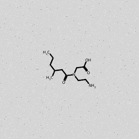 CCCC(C)CC(=O)N(CCN)CC(=O)O